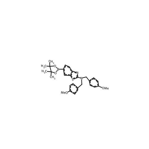 COc1ccc(CN(Cc2ccc(OC)cc2)c2nc3ccc(B4OC(C)(C)C(C)(C)O4)cc3s2)cc1